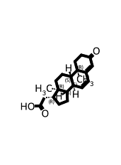 C[C@]12CC[C@H]3[C@@H](C=CC4=CC(=O)CC[C@@]43C)[C@@H]1CC[C@@H]2CC(=O)O